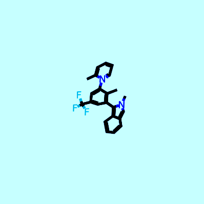 Cc1c(-c2c3ccccc3cn2C)cc(C(F)(F)F)cc1-[n+]1ccccc1C